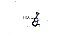 Cc1cccc2c(C(=O)O)c(C3CC3)nn12